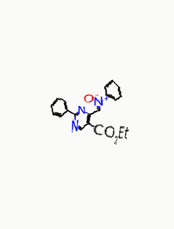 CCOC(=O)c1cnc(-c2ccccc2)nc1C=[N+]([O-])c1ccccc1